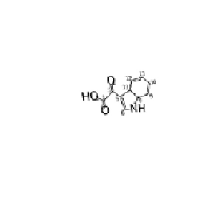 O=C(O)C(=O)C1=CNC2C=CC=CC12